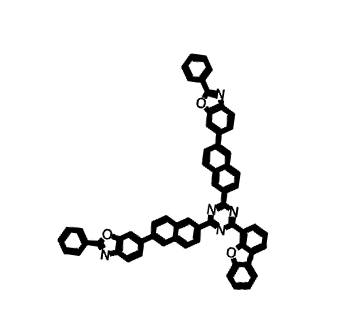 c1ccc(-c2nc3ccc(-c4ccc5cc(-c6nc(-c7ccc8cc(-c9ccc%10nc(-c%11ccccc%11)oc%10c9)ccc8c7)nc(-c7cccc8c7oc7ccccc78)n6)ccc5c4)cc3o2)cc1